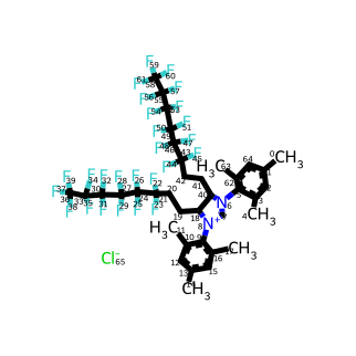 Cc1cc(C)c(N2C=[N+](c3c(C)cc(C)cc3C)C(CCC(F)(F)C(F)(F)C(F)(F)C(F)(F)C(F)(F)C(F)(F)F)C2CCC(F)(F)C(F)(F)C(F)(F)C(F)(F)C(F)(F)C(F)(F)F)c(C)c1.[Cl-]